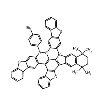 CC(C)(C)c1ccc(N2B3c4cc5c(cc4-n4c6cc7c(cc6c6c8oc9ccccc9c8c(c3c64)-c3cc4c(cc32)oc2ccccc24)C(C)(C)CCC7(C)C)sc2ccccc25)cc1